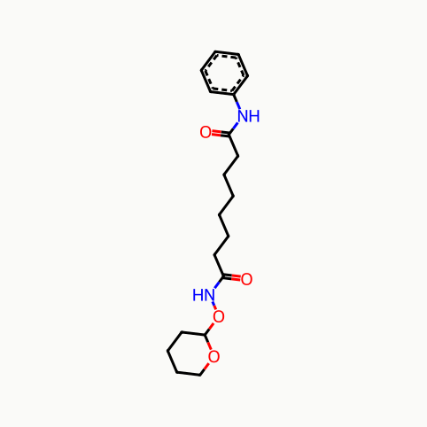 O=C(CCCCCCC(=O)Nc1ccccc1)NOC1CCCCO1